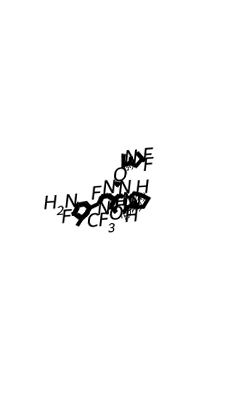 Cc1c(F)c(N)cc(-c2nc3c4c(nc(OC[C@]56CCN5CC(F)(F)C6)nc4c2F)N2C[C@H]4CC[C@H](N4)[C@H]2[C@H](C)O3)c1C(F)(F)F